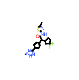 Cc1csc(NC(=O)C(c2ccc(-c3nnn(C)n3)cc2)C2CCC(F)(F)C2)n1